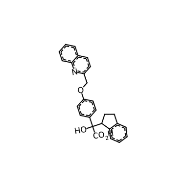 O=C(O)C(O)(c1ccc(OCc2ccc3ccccc3n2)cc1)C1CCc2ccccc21